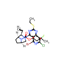 C=C[C@@H]1[C@@H]2CC[C@H](CN1c1nc(SCC)nc3c(F)c(Cl)nc(Br)c13)N2C(=O)OCCCC